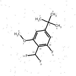 COc1cc(C(C)(C)C)cc(F)c1C(F)F